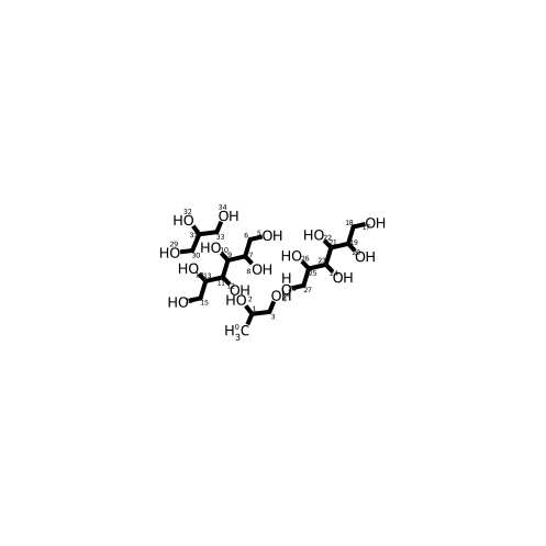 CC(O)CO.OCC(O)C(O)C(O)C(O)CO.OCC(O)C(O)C(O)C(O)CO.OCC(O)CO